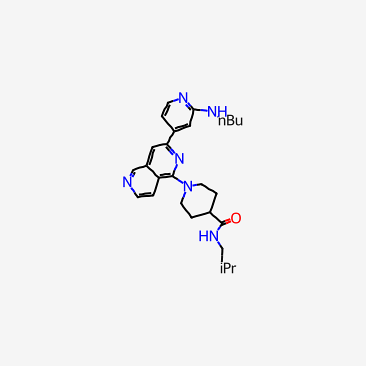 CCCCNc1cc(-c2cc3cnccc3c(N3CCC(C(=O)NCC(C)C)CC3)n2)ccn1